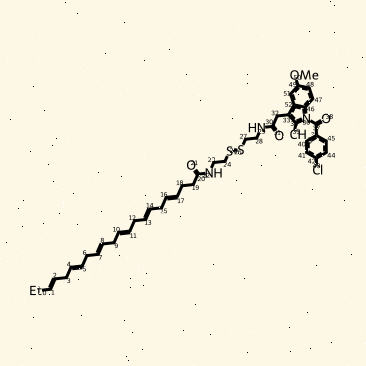 CCC=CCC=CCC=CCC=CCC=CCC=CCCC(=O)NCCSSCCNC(=O)Cc1c(C)n(C(=O)c2ccc(Cl)cc2)c2ccc(OC)cc12